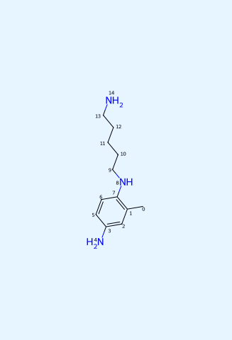 Cc1cc(N)ccc1NCCCCCN